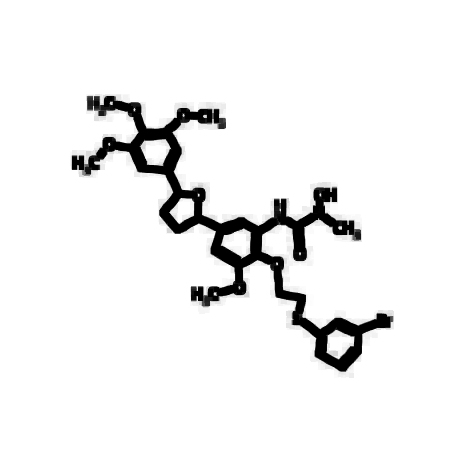 COc1cc(C2CCC(c3cc(OC)c(OC)c(OC)c3)O2)cc(NC(=O)N(C)O)c1OCCSc1cccc(Br)c1